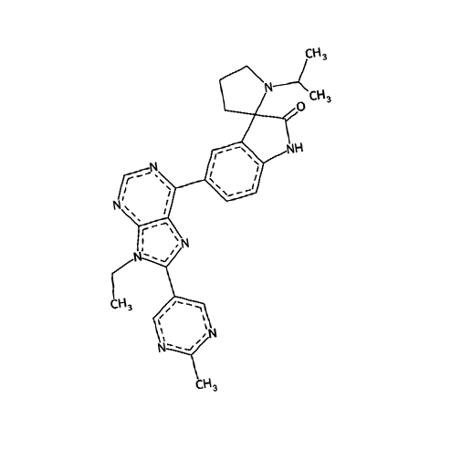 CCn1c(-c2cnc(C)nc2)nc2c(-c3ccc4c(c3)C3(CCCN3C(C)C)C(=O)N4)ncnc21